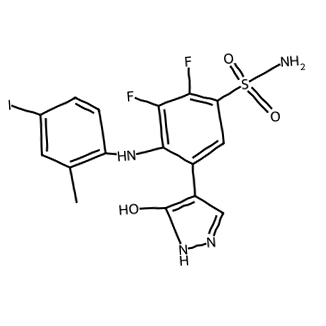 Cc1cc(I)ccc1Nc1c(-c2cn[nH]c2O)cc(S(N)(=O)=O)c(F)c1F